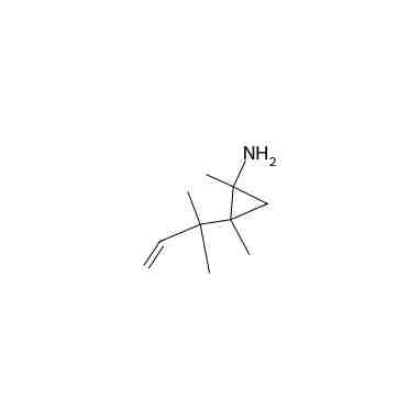 C=CC(C)(C)C1(C)CC1(C)N